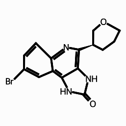 O=c1[nH]c2c([C@@H]3CCCOC3)nc3ccc(Br)cc3c2[nH]1